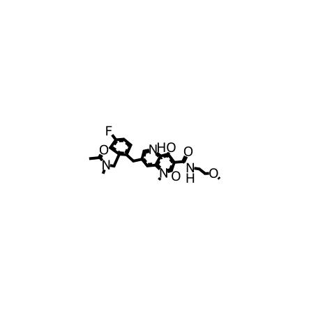 COCCNC(=O)c1c(O)c2ncc(Cc3ccc(F)cc3CN(C)C(C)=O)cc2n(C)c1=O